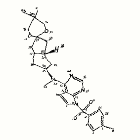 Cc1ccc(S(=O)(=O)n2ccc3c(N(C)[C@H]4CC5CC6(C[C@@H]5C4)OCC(C)(C)CO6)ncnc32)cc1